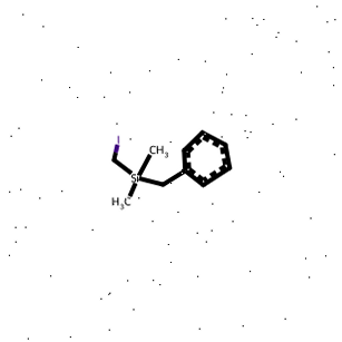 C[Si](C)(CI)Cc1ccccc1